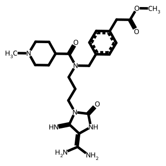 COC(=O)Cc1ccc(CN(CCCN2C(=N)C(=C(N)N)NC2=O)C(=O)C2CCN(C)CC2)cc1